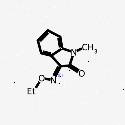 CCO/N=C1/C(=O)N(C)c2ccccc21